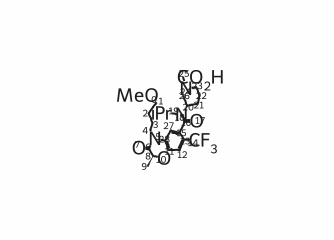 COCCCCN1C(=O)[C@H](C)Oc2cc(C(F)(F)F)c(C(=O)N(C(C)C)[C@@H]3CCCN(C(=O)O)C3)cc21